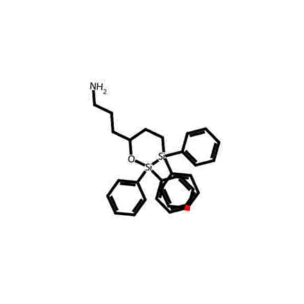 NCCCC1CC[Si](c2ccccc2)(c2ccccc2)[Si](c2ccccc2)(c2ccccc2)O1